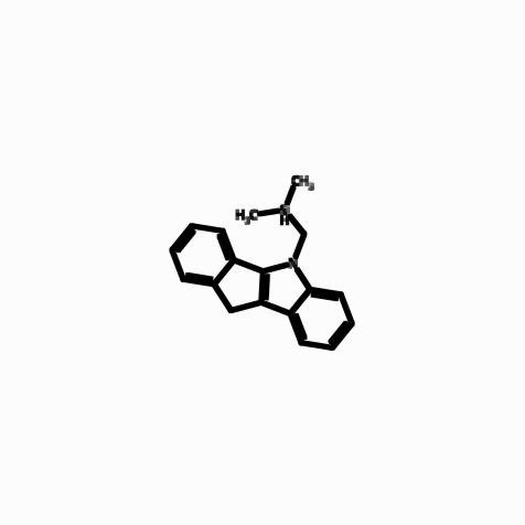 C[SiH](C)Cn1c2c(c3ccccc31)Cc1ccccc1-2